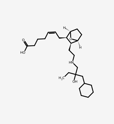 CCC(O)(CNCC[C@H]1[C@@H](C/C=C\CCCC(=O)O)[C@H]2CC[C@@H]1O2)CC1CCCCC1